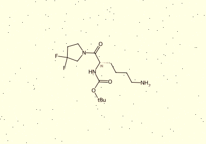 CC(C)(C)OC(=O)N[C@@H](CCCCN)C(=O)N1CCC(F)(F)C1